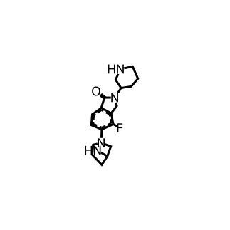 O=C1c2ccc(N3CC4CC(C3)N4)c(F)c2CN1C1CCCNC1